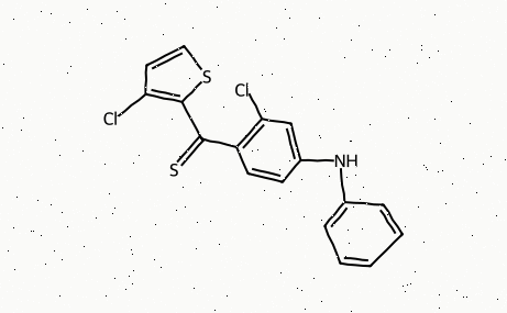 S=C(c1ccc(Nc2ccccc2)cc1Cl)c1sccc1Cl